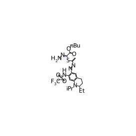 C=C(N=Nc1cc2c(cc1NS(=O)(=O)C(F)(F)F)N(C(C)C)C(CC)CC2)S/C(=N\N)C(=O)OCCCC